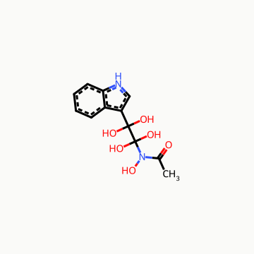 CC(=O)N(O)C(O)(O)C(O)(O)c1c[nH]c2ccccc12